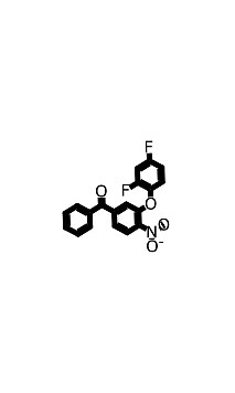 O=C(c1ccccc1)c1ccc([N+](=O)[O-])c(Oc2ccc(F)cc2F)c1